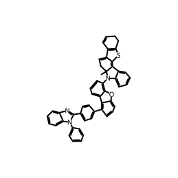 CC12CC=c3c4c(sc3=C1c1ccccc1N2c1cccc2c1oc1cccc(-c3ccc(-c5nc6ccccc6n5-c5ccccc5)cc3)c12)CCC=C4